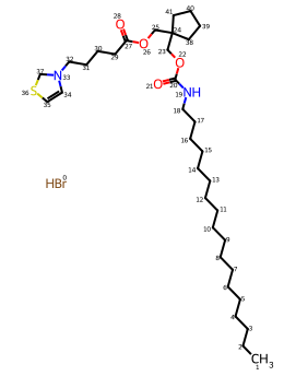 Br.CCCCCCCCCCCCCCCCCCNC(=O)OCC1(COC(=O)CCCCN2C=CSC2)CCCC1